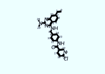 C=Cc1ccc2c(NCc3ccc(NC(=O)c4ccc(Cl)nc4)cc3)nc(N(C)C)nc2c1